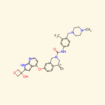 CC[C@@H]1CN(C(=O)Nc2ccc(CN3CCN(C)CC3)c(C(F)(F)F)c2)Cc2cc(Oc3ccnc4[nH]c(C5(O)COC5)cc34)ccc21